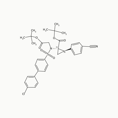 CC(C)(C)OC(=O)CN([C@@]1(C(=O)OC(C)(C)C)C[C@@H]1c1ccc(C#N)cc1)S(=O)(=O)c1ccc(-c2ccc(Cl)cc2)cc1